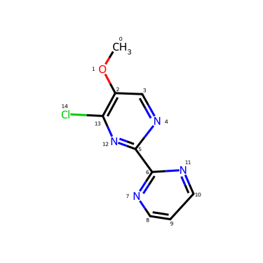 COc1cnc(-c2ncccn2)nc1Cl